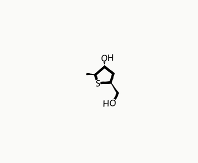 C[C@@H]1S[C@H](CO)C[C@H]1O